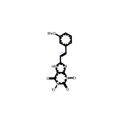 CCn1c(=O)c2[nH]c(/C=C/c3cccc(OC)c3)nc2n(CC)c1=O